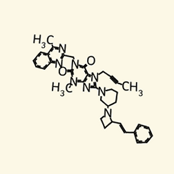 CC#CCn1c(N2CCC[C@@H](N3CCC3/C=C/c3ccccc3)C2)nc2c1c(=O)n(Cc1nc(C)c3ccccc3n1)c(=O)n2C